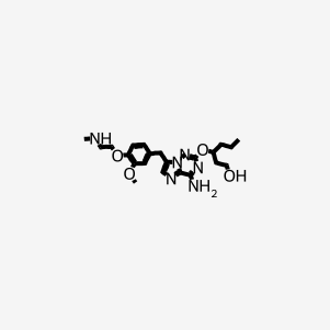 CCCC(CCO)Oc1nc(N)c2ncc(Cc3ccc(OCCNC)c(OC)c3)n2n1